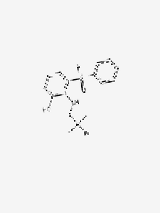 CC(C)(Br)CNc1c(O)cccc1S(=O)(=O)c1ccccc1